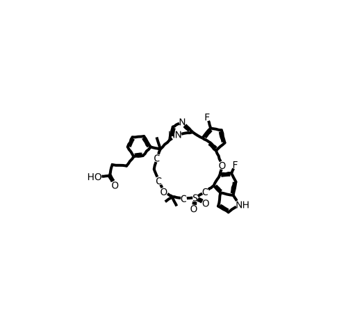 CC1(C)CS(=O)(=O)Cc2c(c(F)cc3[nH]ccc23)Oc2ccc(F)c(c2)-c2ncc([nH]2)C(C)(c2cccc(CCC(=O)O)c2)CCCO1